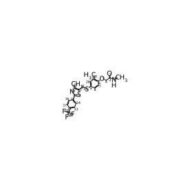 CNC(=O)COc1ccc(SCc2sc(-c3ccc(C(F)(F)F)cc3)nc2C)cc1C